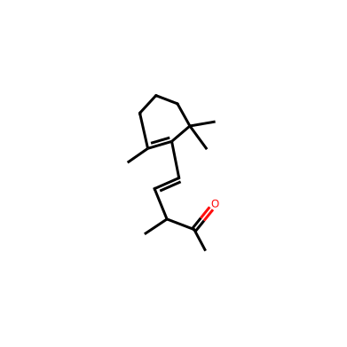 CC(=O)C(C)C=CC1=C(C)CCCC1(C)C